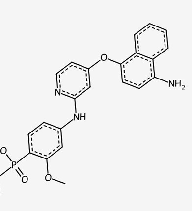 CCP(=O)(O)c1ccc(Nc2cc(Oc3ccc(N)c4ccccc34)ccn2)cc1OC